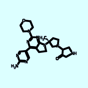 C[C@]1(N2CCc3c(-c4cnc(N)nc4)nc(N4CCOCC4)nc32)CCN(C2CNCC2=O)C1